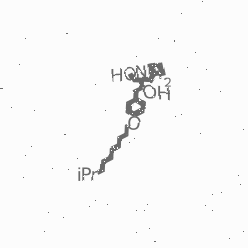 CC(C)CCCCCCCCOc1ccc(CC(O)[C@@](N)(CO)CC2CCC2)cc1